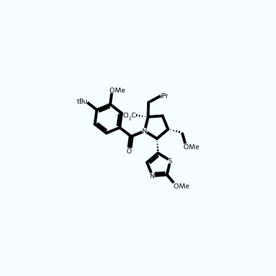 COC[C@H]1C[C@@](CC(C)C)(C(=O)O)N(C(=O)c2ccc(C(C)(C)C)c(OC)c2)[C@H]1c1cnc(OC)s1